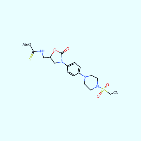 COC(=S)NCC1CN(c2ccc(N3CCN(S(=O)(=O)CC#N)CC3)cc2)C(=O)O1